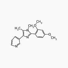 COc1ccc(-c2nc(-c3cccnc3)c(C)n2C)c(OC)c1